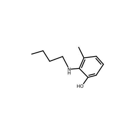 CCCCNc1c(C)cccc1O